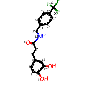 O=C(CCc1ccc(O)c(O)c1)NCc1ccc(C(F)(F)F)cc1